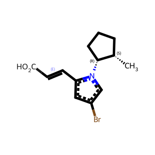 C[C@H]1CCC[C@H]1n1cc(Br)cc1/C=C/C(=O)O